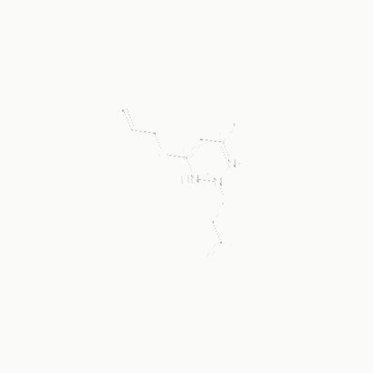 C=CCOC1=CC(Cl)=NN(OCC=C)N1